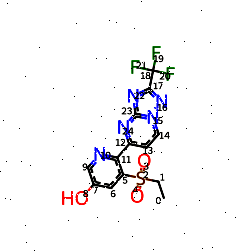 CCS(=O)(=O)c1cc(O)cnc1-c1ccn2nc(C(F)(F)F)nc2n1